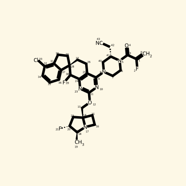 C=C(F)C(=O)N1CCN(c2nc(OC[C@@]34CCN3[C@@H](C)[C@H](F)C4)nc3c2CC[C@@]2(CCc4c(Cl)cccc42)C3F)C[C@@H]1CC#N